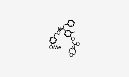 COc1ccc(CON=C(Cc2ccccc2)c2ccc(OCC(=O)N3CCOCC3)c(C)c2)cc1